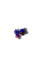 CCCCc1nc2ccc(N3C(=O)C4CCCCC4C3=O)nc2n1Cc1ccc(-c2ccccc2-c2nnnn2C(c2ccccc2)(c2ccccc2)c2ccccc2)cc1